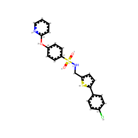 O=S(=O)(NCc1ccc(-c2ccc(Cl)cc2)s1)c1ccc(Oc2ccccn2)cc1